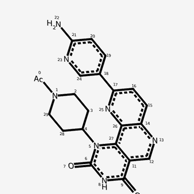 CC(=O)N1CCC(n2c(=O)[nH]c(=O)c3cnc4ccc(-c5ccc(N)nc5)nc4c32)CC1